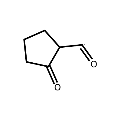 O=[C]C1CCCC1=O